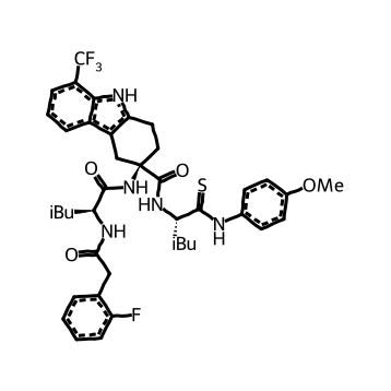 CCC(C)[C@H](NC(=O)Cc1ccccc1F)C(=O)N[C@]1(C(=O)N[C@H](C(=S)Nc2ccc(OC)cc2)C(C)CC)CCc2[nH]c3c(C(F)(F)F)cccc3c2C1